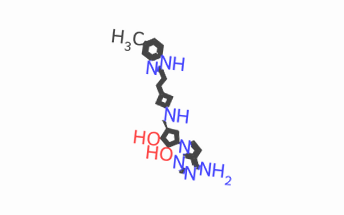 Cc1ccc2[nH]c(CCC3CC(NC[C@H]4C[C@@H](n5ccc6c(N)ncnc65)[C@H](O)[C@@H]4O)C3)nc2c1